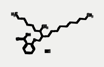 CCCCCCCCCCC(COc1ccccc1C(=O)O)C(C)CCCCCC.Cl